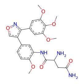 COc1ccc(-c2conc2-c2cc(OC)c(OC)c(OC)c2)cc1NC(=O)C(N)CC(N)=O